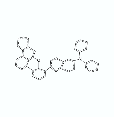 c1ccc(N(c2ccccc2)c2ccc3cc(-c4cccc5c4Oc4cc6ccccc6c6cccc-5c46)ccc3c2)cc1